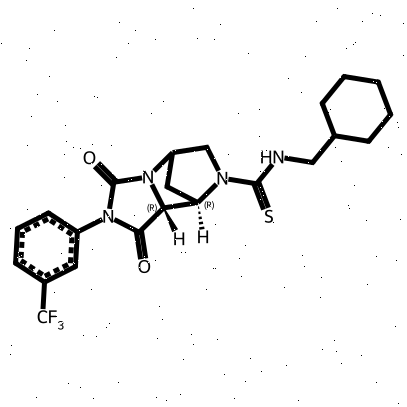 O=C1[C@H]2[C@H]3CC(CN3C(=S)NCC3CCCCC3)N2C(=O)N1c1cccc(C(F)(F)F)c1